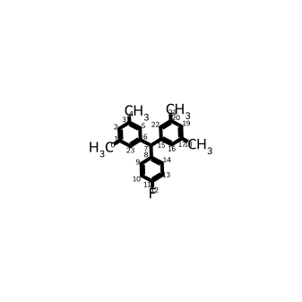 Cc1cc(C)cc(C(c2ccc(F)cc2)c2cc(C)cc(C)c2)c1